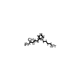 CC(C)CCCCn1nncc1CCCC(C)C(C)C